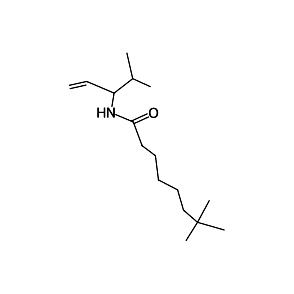 C=CC(NC(=O)CCCCCC(C)(C)C)C(C)C